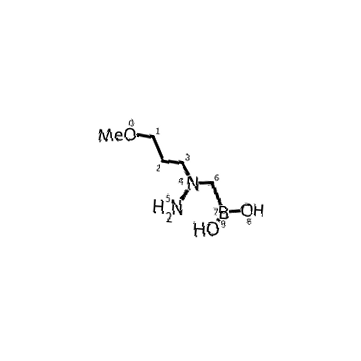 COCCCN(N)CB(O)O